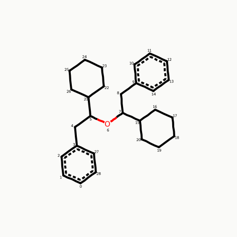 c1ccc(CC(OC(Cc2ccccc2)C2CCCCC2)C2CCCCC2)cc1